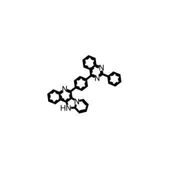 C1=CC2Nc3c(c(-c4ccc(-c5nc(-c6ccccc6)nc6ccccc56)cc4)nc4ccccc34)N2C=C1